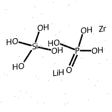 O=P(O)(O)O.O[Si](O)(O)O.[LiH].[Zr]